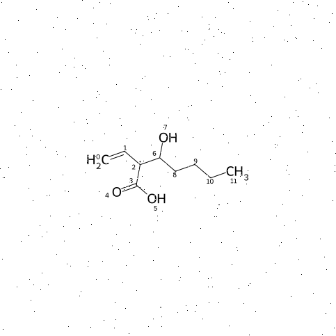 C=C[C](C(=O)O)C(O)CCCC